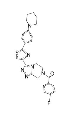 O=C(c1ccc(F)cc1)N1CCn2c(nnc2-c2csc(-c3ccc(N4CCCCC4)cc3)n2)C1